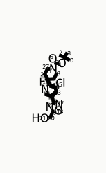 CC(C)(C)OC(=O)N1CCC(F)(c2ncc(-c3noc(CO)n3)cc2Cl)CC1